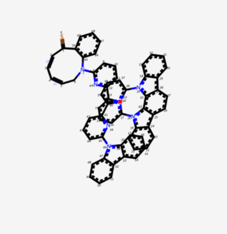 S=C1/C=C\C=C/CN(c2cccc(-c3cccc(-n4c5ccccc5c5ccc6c7ccccc7n(-c7cccc(-c8cccc(-n9c%10ccccc%10c%10ccccc%109)n8)n7)c6c54)n3)n2)c2ccccc21